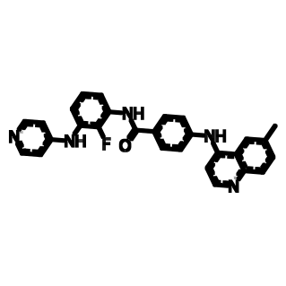 Cc1ccc2nccc(Nc3ccc(C(=O)Nc4cccc(Nc5ccncc5)c4F)cc3)c2c1